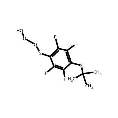 CC(C)(C)Sc1c(F)c(F)c(SOOO)c(F)c1F